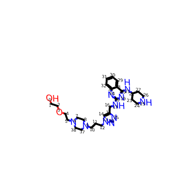 OCCOCCN1CCN(CCCn2cc(CNc3nc(NC4CCNCC4)c4ccccc4n3)nn2)CC1